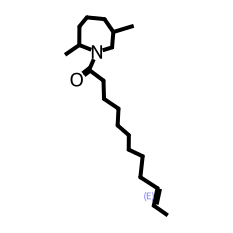 C/C=C/CCCCCCCCC(=O)N1CC(C)CCCC1C